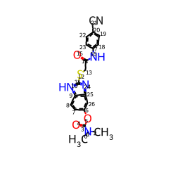 CN(C)C(=O)Oc1ccc2[nH]c(SCC(=O)Nc3ccc(C#N)cc3)nc2c1